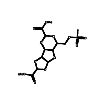 COC(=O)C1OC2OC3C(COS(C)(=O)=O)OC(C(=O)OC)OC3C2O1